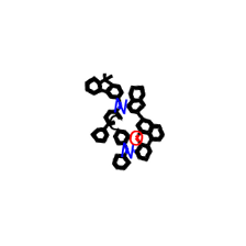 CC1(C)c2ccccc2-c2cc(N(c3ccc(-c4ccccc4)cc3)c3cc(-c4cc5c6c(cccc6c4)-c4cccc(N(c6ccccc6)c6ccccc6)c4O5)cc4ccccc34)ccc21